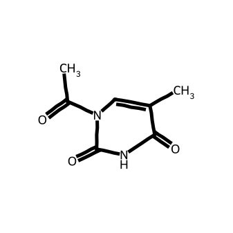 CC(=O)n1cc(C)c(=O)[nH]c1=O